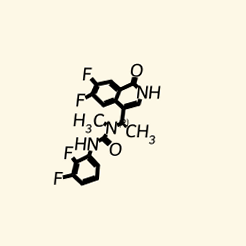 C[C@H](c1c[nH]c(=O)c2cc(F)c(F)cc12)N(C)C(=O)Nc1cccc(F)c1F